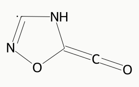 O=C=C1N[C]=NO1